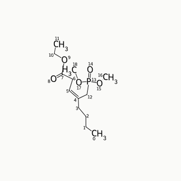 CCCCC(=CCC(=O)OCC)CP(=O)(OC)OC